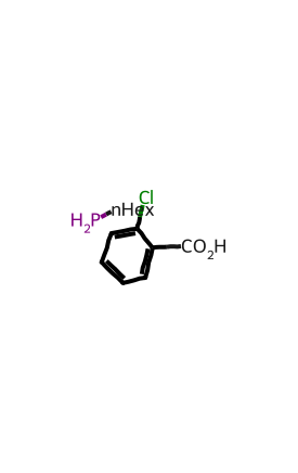 CCCCCCP.O=C(O)c1ccccc1Cl